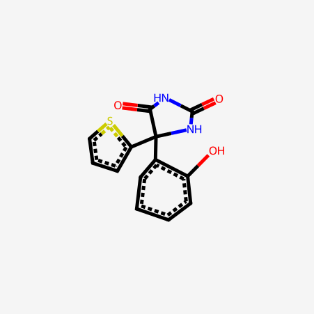 O=C1NC(=O)C(c2cccs2)(c2ccccc2O)N1